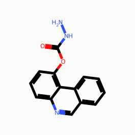 NNC(=O)Oc1cccc2ncc3ccccc3c12